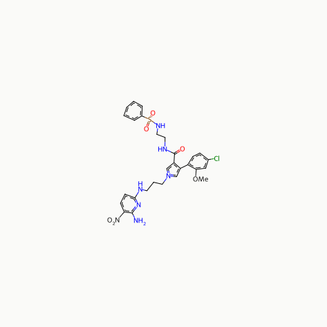 COc1cc(Cl)ccc1-c1cn(CCCNc2ccc([N+](=O)[O-])c(N)n2)cc1C(=O)NCCNS(=O)(=O)c1ccccc1